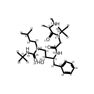 CN[C@H](C)C(=O)N(CC(=O)N[C@@H](Cc1ccccc1)[C@H](O)CN(CCC(C)C)C(=O)NC(C)(C)C)C(C)(C)C